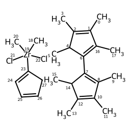 CC1=C(C)C(C)C(C2=C(C)C(C)=C(C)C2C)=C1C.[CH3][Zr]([CH3])([Cl])([Cl])[C]1=CC=CC1